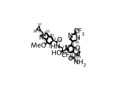 COc1cc(C(=O)NCC(O)(c2cc3c(c(-c4cnc(C(F)(F)F)nc4)n2)OC2C[C@@]32C(N)=O)C(F)(F)F)cc2cn(C3CC3)nc12